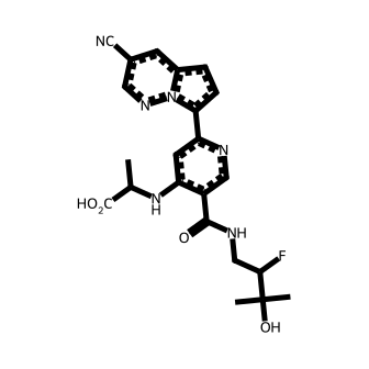 CC(Nc1cc(-c2ccc3cc(C#N)cnn23)ncc1C(=O)NCC(F)C(C)(C)O)C(=O)O